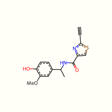 C#Cc1nc(C(=O)NC(C)c2ccc(O)c(OC)c2)cs1